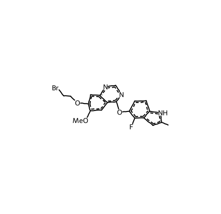 COc1cc2c(Oc3ccc4[nH]c(C)cc4c3F)ncnc2cc1OCCBr